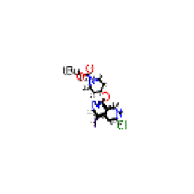 CC(C)(C)OC(=O)N1CCC(Oc2ncc(I)c3cc(Cl)ncc23)CC1